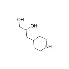 OCC(O)CC1CCNCC1